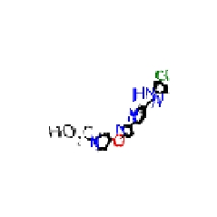 O=C(O)CN1CCC(Oc2ccc(-c3ccc(-c4nc5ccc(Cl)cc5[nH]4)cn3)cn2)CC1